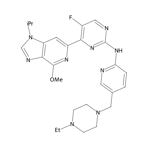 CCN1CCN(Cc2ccc(Nc3ncc(F)c(-c4cc5c(ncn5C(C)C)c(OC)n4)n3)nc2)CC1